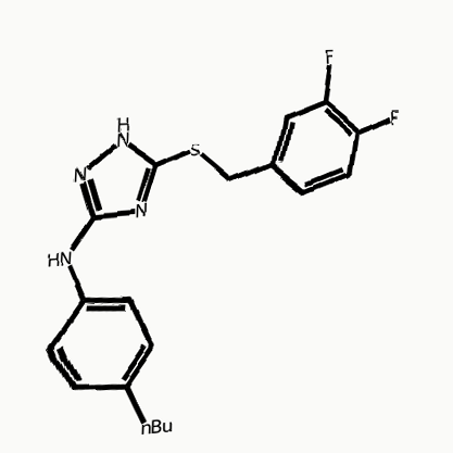 CCCCc1ccc(Nc2n[nH]c(SCc3ccc(F)c(F)c3)n2)cc1